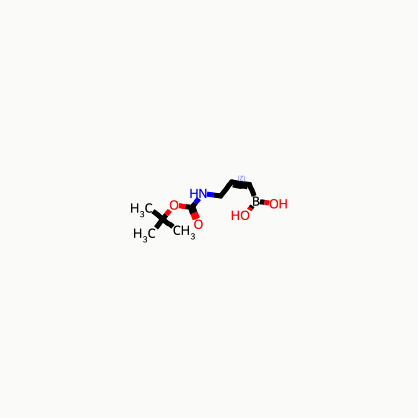 CC(C)(C)OC(=O)NC/C=C\B(O)O